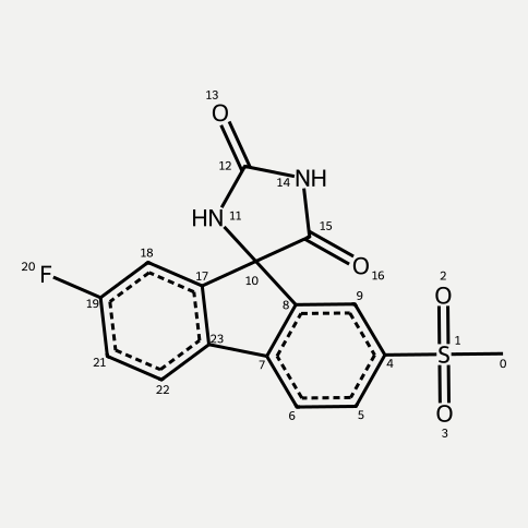 CS(=O)(=O)c1ccc2c(c1)C1(NC(=O)NC1=O)c1cc(F)ccc1-2